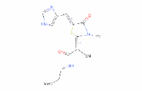 CCn1c(=O)/c(=C/c2c[nH]cn2)s/c1=C(/C#N)C(=O)NCCOC